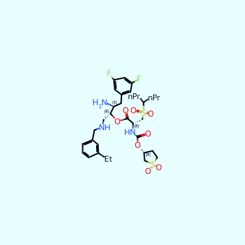 CCCC(CCC)S(=O)(=O)C[C@H](NC(=O)O[C@@H]1CCS(=O)(=O)C1)C(=O)O[C@H](CNCc1cccc(CC)c1)[C@@H](N)Cc1cc(F)cc(F)c1